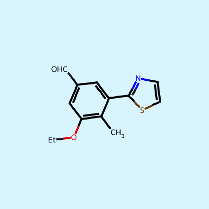 CCOc1cc(C=O)cc(-c2nccs2)c1C